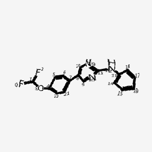 FC(F)Oc1ccc(-c2cnc(Nc3cc[c]cc3)nc2)cc1